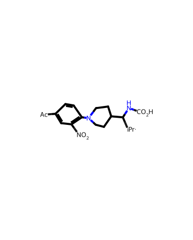 C[C](C)C(NC(=O)O)C1CCN(c2ccc(C(C)=O)cc2[N+](=O)[O-])CC1